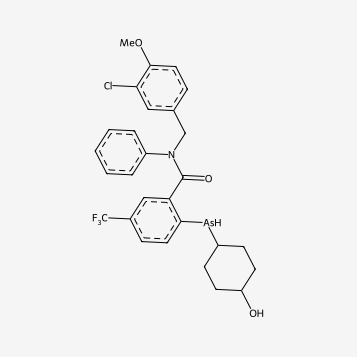 COc1ccc(CN(C(=O)c2cc(C(F)(F)F)ccc2[AsH]C2CCC(O)CC2)c2ccccc2)cc1Cl